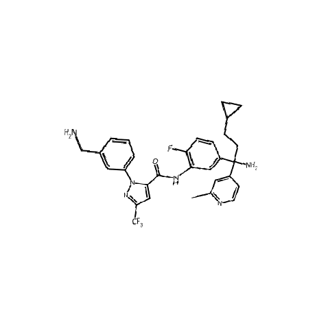 Cc1cc(C(N)(CCC2CC2)c2ccc(F)c(NC(=O)c3cc(C(F)(F)F)nn3-c3cccc(CN)c3)c2)ccn1